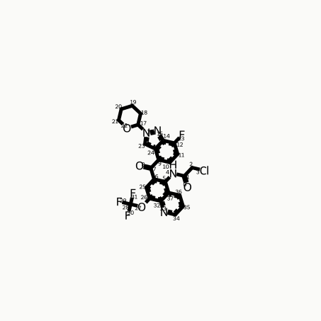 O=C(CCl)Nc1c(C(=O)c2ccc(F)c3nn(C4CCCCO4)cc23)cc(OC(F)(F)F)c2ncccc12